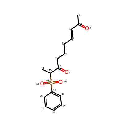 CC(=O)/C=C/CCCC(=O)C(C)S(=O)(=O)c1ccccc1